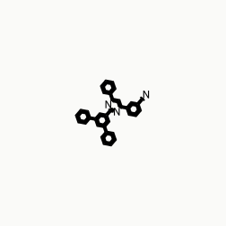 N#Cc1cccc(-c2cc(-c3ccccc3)nc(-c3cc(-c4ccccc4)cc(-c4ccccc4)c3)n2)c1